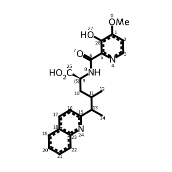 COc1ccnc(C(=O)N[C@@H](CC(C)C(C)c2ccc3ccccc3n2)C(=O)O)c1O